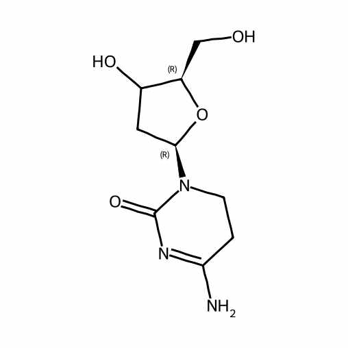 NC1=NC(=O)N([C@H]2CC(O)[C@@H](CO)O2)CC1